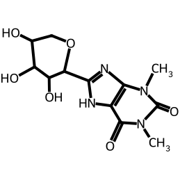 Cn1c(=O)c2[nH]c(C3OCC(O)C(O)C3O)nc2n(C)c1=O